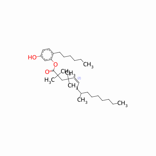 CCCCCCCC(C)C/C=C\C(C)(C)CC(C)(C)C(=O)Oc1cc(O)ccc1CCCCCC